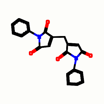 O=C1C=C(CC2=CC(=O)N(c3ccccc3)C2=O)C(=O)N1c1ccccc1